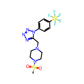 CS(=O)(=O)N1CCN(Cc2nnnn2-c2ccc(S(F)(F)(F)(F)F)cc2)CC1